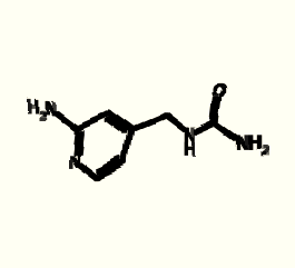 NC(=O)NCc1ccnc(N)c1